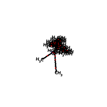 CCCCCCCCCCCCC/C=C/[C@@H](O)[C@H](CO[C@@H]1OC(CO)[C@@H](O[C@@H]2OC(CO[C@@H]3OC(CO)[C@@H](O)[C@H](O[C@H]4OC(C)[C@@H](O)C(O)[C@@H]4O)C3NC(C)=O)[C@H](O)[C@H](O[C@@H]3OC(CO)[C@@H](O[C@H]4OC(C)[C@@H](O)C(O)[C@@H]4O)[C@H](O[C@@H]4OC(CO)[C@H](O)[C@H](O[C@]5(C(=O)O)CC(O)[C@@H](NC(C)=O)C([C@H](O)[C@H](O)CO)O5)C4O)C3NC(C)=O)C2O)[C@H](O)C1O)NC(=O)CCCCCCCCCCCCCCCCCCCCC